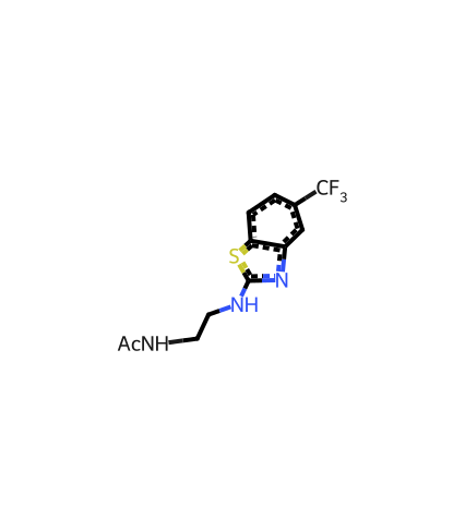 CC(=O)NCCNc1nc2cc(C(F)(F)F)ccc2s1